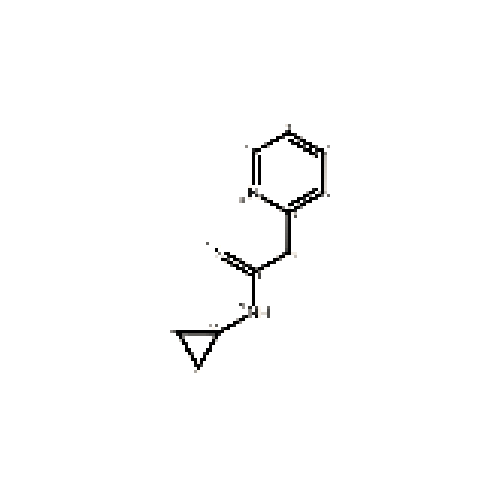 S=C(Cc1ccccn1)NC1CC1